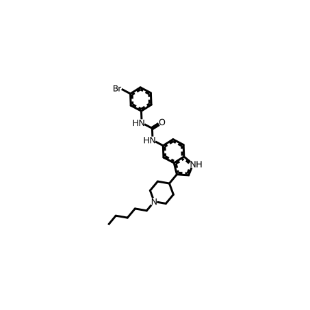 CCCCCN1CCC(c2c[nH]c3ccc(NC(=O)Nc4cccc(Br)c4)cc23)CC1